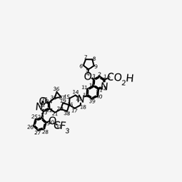 O=C(O)c1cc(OC2CCCC2)c2cc(N3CCC4(CC3)CC(Cc3c(-c5ccccc5OC(F)(F)F)noc3C3CC3)C4)ccc2n1